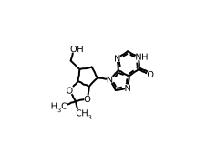 CC1(C)OC2C(CO)CC(n3cnc4c(=O)[nH]cnc43)C2O1